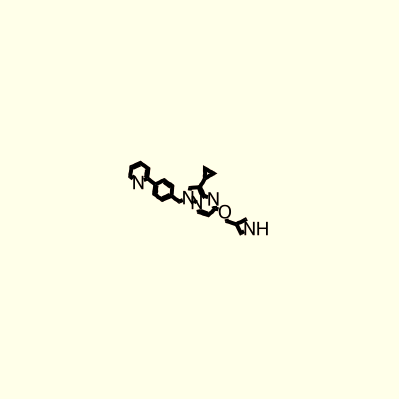 C1=CN2C(=C(C3CC3)CN2Cc2ccc(-c3ccccn3)cc2)N=C1OCC1CNC1